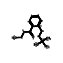 CCOC(=O)c1ccccc1CCC(C)(C)N